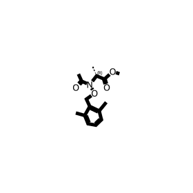 COC(=O)[C@@H](C)N(OCc1c(C)cccc1C)C(C)=O